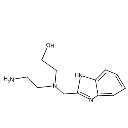 NCCN(CCO)Cc1nc2ccccc2[nH]1